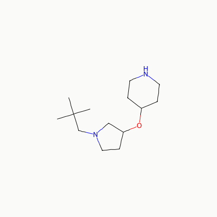 CC(C)(C)CN1CCC(OC2CCNCC2)C1